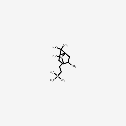 CC1CCC2C(C)(C)C2(N(CC[CH2][Sn]([CH3])([CH3])[CH3])C(=O)O)C1